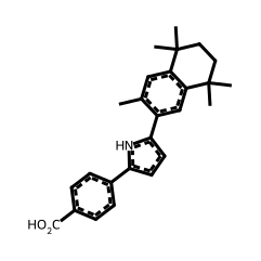 Cc1cc2c(cc1-c1ccc(-c3ccc(C(=O)O)cc3)[nH]1)C(C)(C)CCC2(C)C